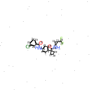 O=C(Nc1ccc(C2(C(=O)NC3CC3C(F)F)CCC2)cc1)c1cccc(Cl)c1